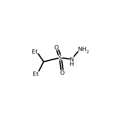 CCC(CC)S(=O)(=O)NN